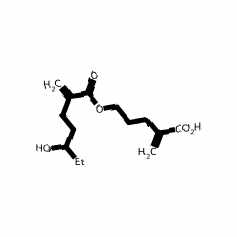 C=C(CCCOC(=O)C(=C)CCC(O)CC)C(=O)O